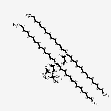 CCCCCCCCCCCCCCN(CCCCCCCCCCCCCC)C(=O)CN.CCCCCCCCCCCCCCN(CCCCCCCCCCCCCC)C(=O)CN(C(=O)O)C(C)(C)C